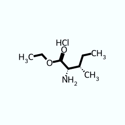 CCOC(=O)[C@@H](N)[C@@H](C)CC.Cl